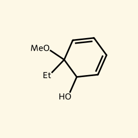 CCC1(OC)C=CC=CC1O